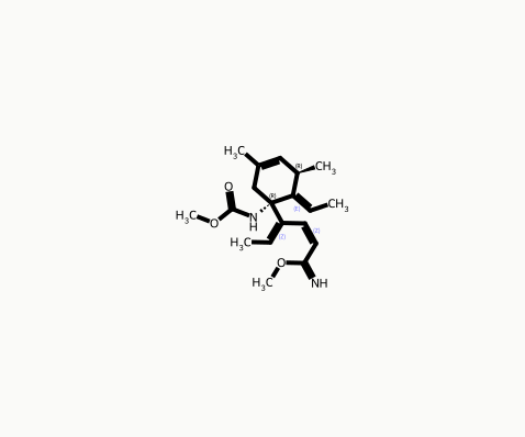 C/C=C(/C=C\C(=N)OC)[C@@]1(NC(=O)OC)CC(C)=C[C@@H](C)/C1=C\C